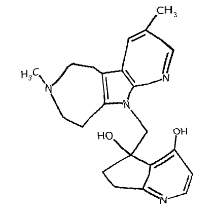 Cc1cnc2c(c1)c1c(n2CC2(O)CCc3nccc(O)c32)CCN(C)C1